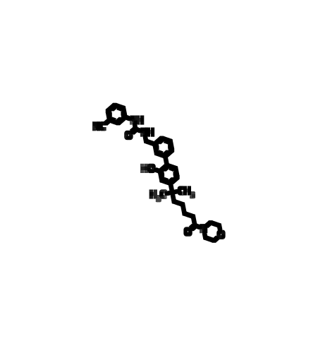 CC(C)(CCCCC(=O)N1CCOCC1)c1ccc(-c2cccc(CNC(=O)Nc3cccc(C#N)c3)c2)c(O)c1